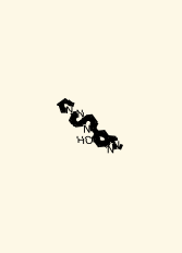 Cn1cc2cc(-c3ccc4nc(N5CCCC5)ccc4n3)c(O)cc2n1